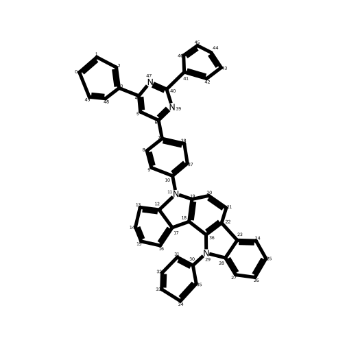 c1ccc(-c2cc(-c3ccc(-n4c5ccccc5c5c4ccc4c6ccccc6n(-c6ccccc6)c45)cc3)nc(-c3ccccc3)n2)cc1